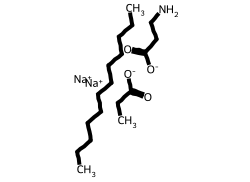 CCC(=O)[O-].CCCCCCCCCCCC.NCCC(=O)[O-].[Na+].[Na+]